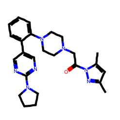 Cc1cc(C)n(C(=O)CN2CCN(c3ccccc3-c3cnc(N4CCCC4)nc3)CC2)n1